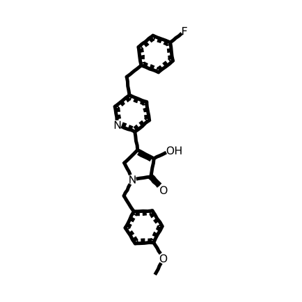 COc1ccc(CN2CC(c3ccc(Cc4ccc(F)cc4)cn3)=C(O)C2=O)cc1